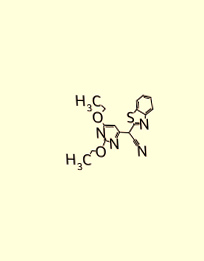 CCOc1cc(C(C#N)c2nc3ccccc3s2)nc(OCC)n1